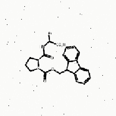 CC(C)[C@H](NC(=O)[C@@H]1CCCN1C(=O)OCC1c2ccccc2-c2ccccc21)C(=O)O